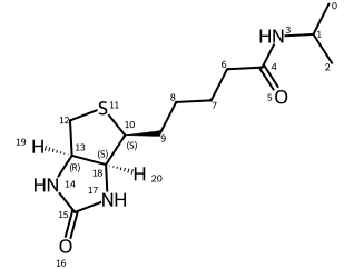 CC(C)NC(=O)CCCC[C@@H]1SC[C@@H]2NC(=O)N[C@@H]21